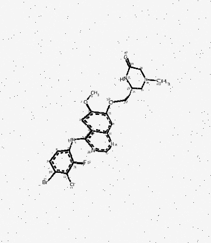 COc1cc2c(Nc3ccc(Br)c(Cl)c3F)ncnc2cc1OC[C@@H]1CN(C)CC(=O)N1